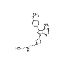 COc1ccc(-c2cn(C3CCN(CCNCCO)C3)c3ncnc(N)c23)cc1